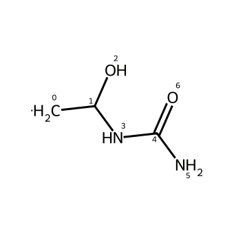 [CH2]C(O)NC(N)=O